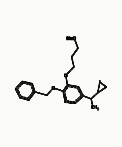 COCCCOc1cc(C(C)C2[CH]C2)ccc1OCc1ccccc1